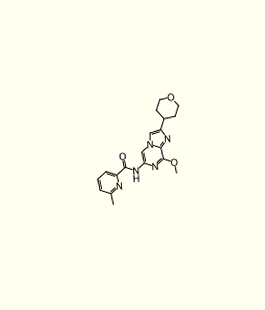 COc1nc(NC(=O)c2cccc(C)n2)cn2cc(C3CCOCC3)nc12